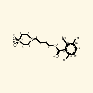 O=C(OCCCCN1CCS(=O)(=O)CC1)c1c(I)ccc(I)c1I